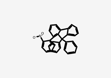 O=[N+]([O-])c1ccccc1-c1cccc2c1C(c1ccccc1)(c1ccncc1)c1ccccc1-2